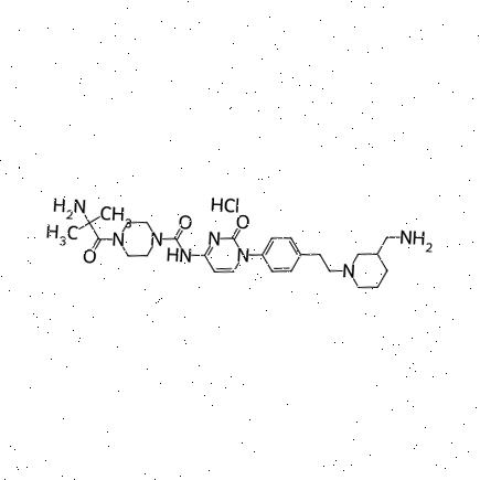 CC(C)(N)C(=O)N1CCN(C(=O)Nc2ccn(-c3ccc(CCN4CCCC(CN)C4)cc3)c(=O)n2)CC1.Cl